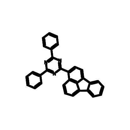 c1ccc(-c2nc(-c3ccccc3)nc(-c3ccc4c5c(cccc35)-c3ccccc3-4)n2)cc1